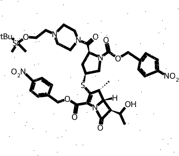 CC(O)[C@H]1C(=O)N2C(C(=O)OCc3ccc([N+](=O)[O-])cc3)=C(S[C@H]3C[C@@H](C(=O)N4CCN(CCO[Si](C)(C)C(C)(C)C)CC4)N(C(=O)OCc4ccc([N+](=O)[O-])cc4)C3)[C@H](C)[C@H]12